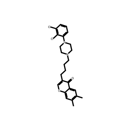 Cc1cc2occ(CCCCN3CCN(c4cccc(Cl)c4Cl)CC3)c(=O)c2cc1C